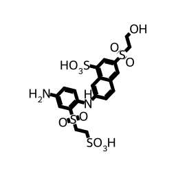 Nc1ccc(Nc2ccc3cc(S(=O)(=O)CCO)cc(S(=O)(=O)O)c3c2)c(S(=O)(=O)CCS(=O)(=O)O)c1